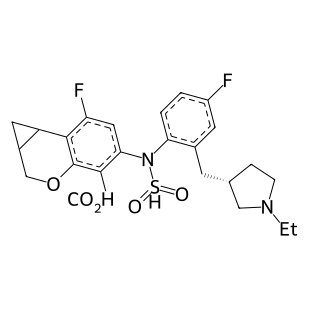 CCN1CC[C@@H](Cc2cc(F)ccc2N(c2cc(F)c3c(c2C(=O)O)OCC2CC32)[SH](=O)=O)C1